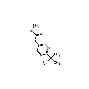 CC(C)(C)c1ncc(OC(=O)NN)cn1